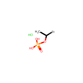 CCC(C)OP(=O)(O)O.Cl